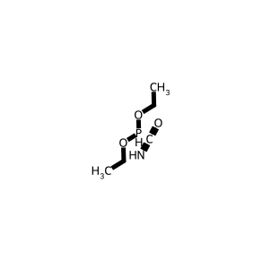 CCOPOCC.N=C=O